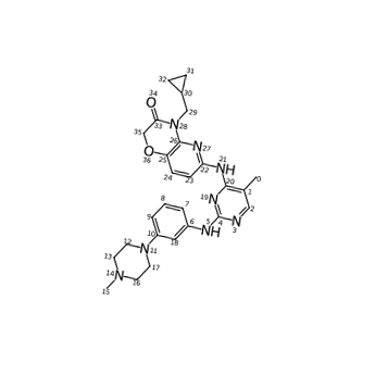 Cc1cnc(Nc2cccc(N3CCN(C)CC3)c2)nc1Nc1ccc2c(n1)N(CC1CC1)C(=O)CO2